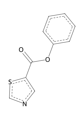 O=C(Oc1ccccc1)c1cncs1